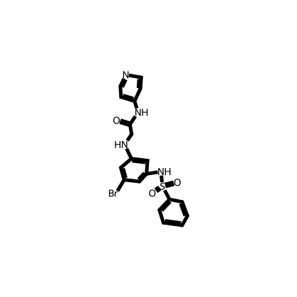 O=C(CNc1cc(Br)cc(NS(=O)(=O)c2ccccc2)c1)Nc1ccncc1